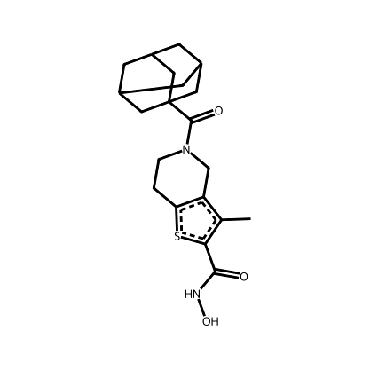 Cc1c(C(=O)NO)sc2c1CN(C(=O)C13CC4CC(CC(C4)C1)C3)CC2